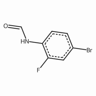 O=CNc1ccc(Br)cc1F